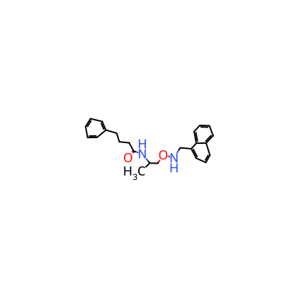 CC(CONCc1cccc2ccccc12)NC(=O)CCCc1ccccc1